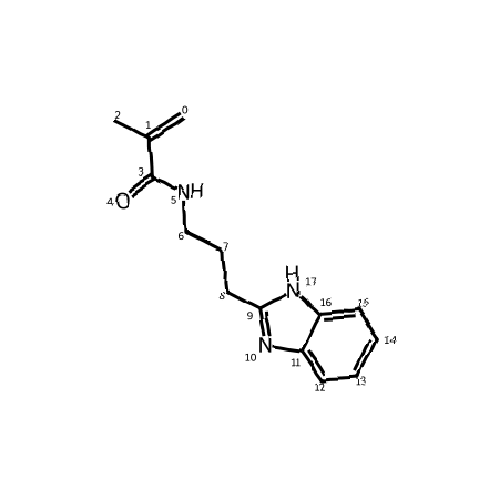 C=C(C)C(=O)NCCCc1nc2ccccc2[nH]1